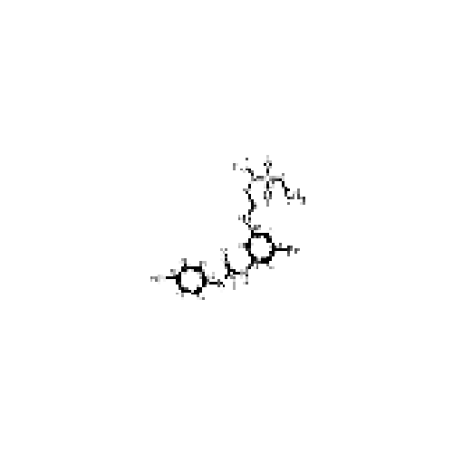 CCS(=O)(=O)N(C)CCOc1cc(F)cc(NC(=O)Nc2ccc(F)cc2)c1